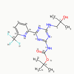 CC(C)(O)CNc1nc(NC(=O)OC(C)(C)C)nc(-c2cccc(C(F)(F)F)n2)n1